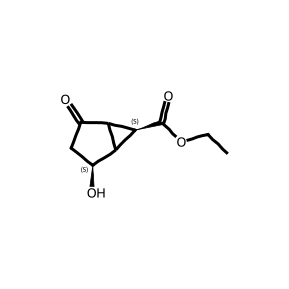 CCOC(=O)[C@@H]1C2C(=O)C[C@H](O)C21